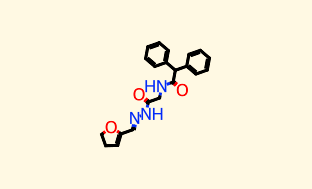 O=C(CNC(=O)C(c1ccccc1)c1ccccc1)N/N=C/C1=CCCO1